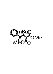 CCCCC(C(=O)c1ccccc1)C(C(=O)OC)C(=O)OC